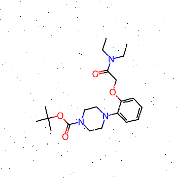 CCN(CC)C(=O)COc1ccccc1N1CCN(C(=O)OC(C)(C)C)CC1